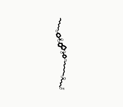 CCCCCCCCOc1ccc(C(=O)Oc2ccc3cc(OC(=O)c4ccc(OCCCCCCCCOC(=O)CCCCCO)cc4)ccc3c2)cc1